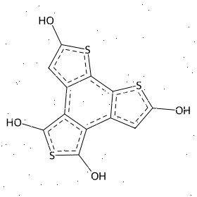 Oc1cc2c(s1)c1sc(O)cc1c1c(O)sc(O)c21